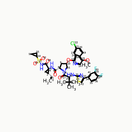 C=C[C@@H]1C[C@]1(NC(=O)[C@@H]1C[C@@H](Oc2ncc(OC)c3ccc(Cl)cc23)CN1C(=O)C(Nc1nc(-c2ccc(F)c(F)c2)cs1)C(C)(C)C)C(=O)NS(=O)(=O)C1CC1